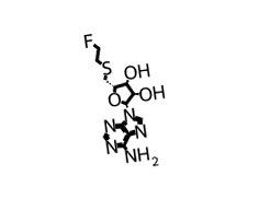 Nc1ncnc2c1ncn2[C@@H]1O[C@H](CSCCF)[C@@H](O)[C@H]1O